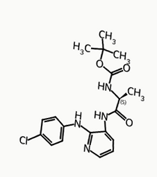 C[C@H](NC(=O)OC(C)(C)C)C(=O)Nc1cccnc1Nc1ccc(Cl)cc1